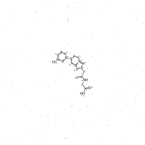 O=C(O)CNC(=O)Cc1nc2ccc(-c3cccc(Cl)c3)cc2s1